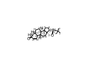 CC(C)(C)NC(=O)[C@H]1CC[C@@]2(C)[C@@H]3CC[C@H]4NC(=O)C=C[C@]4(C)[C@H]3CC[C@]12C